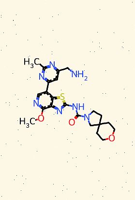 COc1ncc(-c2cc(CN)nc(C)n2)c2sc(NC(=O)N3CCC4(CCOCC4)C3)nc12